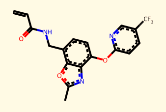 C=CC(=O)NCc1ccc(Oc2ccc(C(F)(F)F)cn2)c2nc(C)oc12